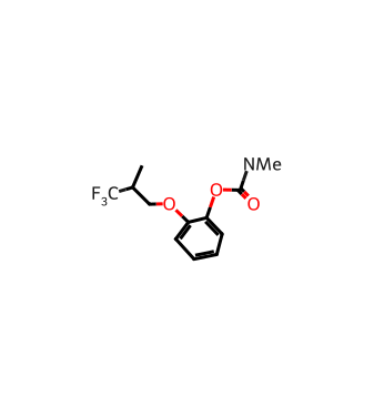 CNC(=O)Oc1ccccc1OCC(C)C(F)(F)F